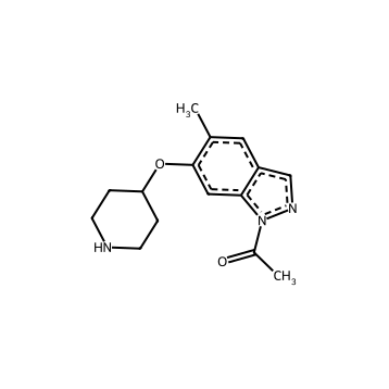 CC(=O)n1ncc2cc(C)c(OC3CCNCC3)cc21